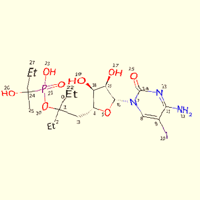 CCC(CC)(C[C@H]1O[C@@H](n2cc(I)c(N)nc2=O)[C@H](O)[C@@H]1O)OP(=O)(O)C(C)(O)CC